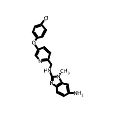 Cn1c(NCc2ccc(Oc3ccc(Cl)cc3)cn2)nc2ccc(N)cc21